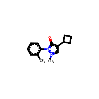 Cn1cc(C2CCC2)c(=O)n1-c1ccccc1C(F)(F)F